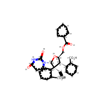 C#C[C@@]1(c2ccccc2C(=O)O)[C@@H](c2ccccc2C(=O)O)[C@H](COC(=O)c2ccccc2)O[C@H]1n1ccc(=O)[nH]c1=O